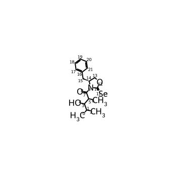 CC(C)C(O)C(C)C(=O)N1C(=[Se])OC[C@@H]1Cc1ccccc1